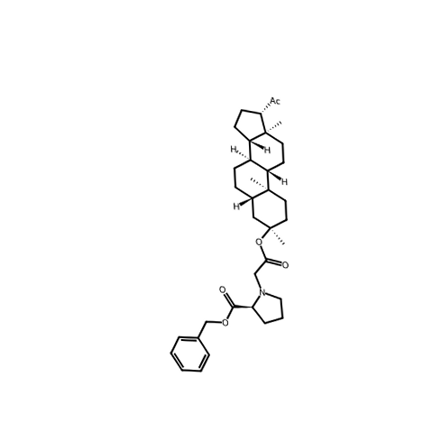 CC(=O)[C@H]1CC[C@H]2[C@@H]3CC[C@H]4C[C@](C)(OC(=O)CN5CCC[C@H]5C(=O)OCc5ccccc5)CC[C@]4(C)[C@H]3CC[C@]12C